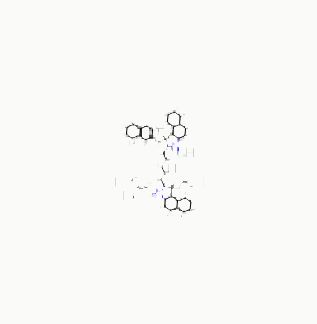 C=CCC1(C)\C(=C/C=C/C=C/C2N(C)c3ccc4ccccc4c3C2(C)Cc2ccc3ccccc3c2)N(CCC(C)C)c2ccc3ccccc3c21